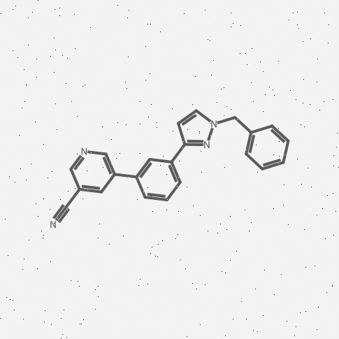 N#Cc1cncc(-c2cccc(-c3ccn(Cc4ccccc4)n3)c2)c1